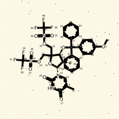 COc1ccc(C(O[C@H]2[C@H](F)[C@H](n3cc(C)c(=O)[nH]c3=O)OC2(COS(=O)(=O)C(F)(F)F)COS(=O)(=O)C(F)(F)F)(c2ccccc2)c2ccccc2)cc1